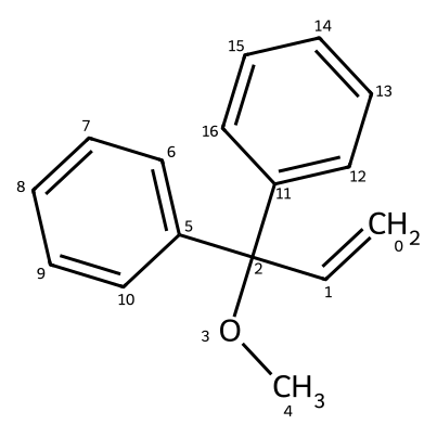 C=CC(OC)(c1ccccc1)c1ccccc1